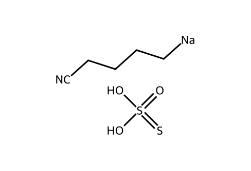 N#CCCC[CH2][Na].O=S(O)(O)=S